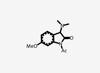 COc1ccc2c(c1)N(C(C)=O)C(=O)C2N(C)C